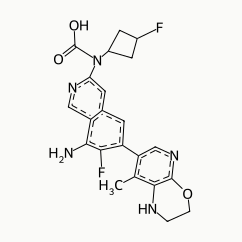 Cc1c(-c2cc3cc(N(C(=O)O)C4CC(F)C4)ncc3c(N)c2F)cnc2c1NCCO2